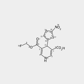 O=C(O)C1=CNC=C(C(=O)OCF)C1c1ccc([N+](=O)[O-])s1